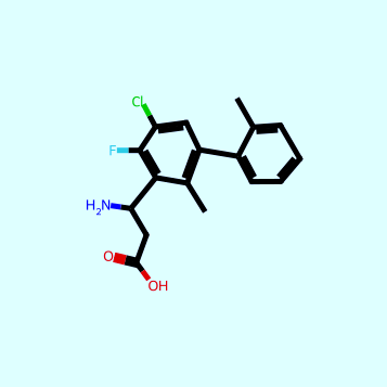 Cc1ccccc1-c1cc(Cl)c(F)c(C(N)CC(=O)O)c1C